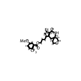 CCn1nc(CCCOC(=O)c2cc(OC)ccc2C(F)(F)F)c2c1C(=O)NCC1(CCOCC1)C2